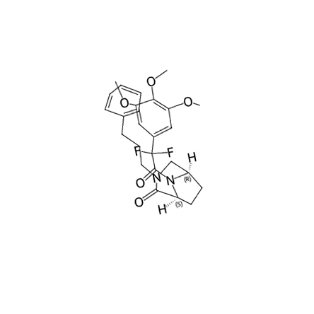 COc1cc(C(F)(F)C(=O)N2[C@@H]3CC[C@H]2C(=O)N(CCCc2ccccc2)C3)cc(OC)c1OC